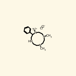 CN1CCNCC(c2ccccc2)[N]([Ti+2])CCN(C)CC1.[Cl-].[Cl-]